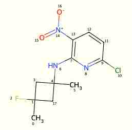 CC1(F)CC(C)(Nc2nc(Cl)ccc2[N+](=O)[O-])C1